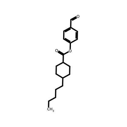 CCCCCC1CCC(C(=O)Oc2ccc(C=O)cc2)CC1